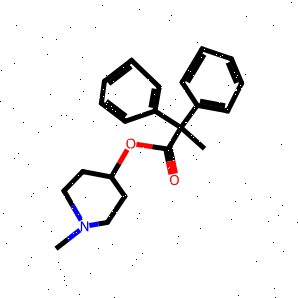 CN1CCC(OC(=O)C(C)(c2ccccc2)c2ccccc2)CC1